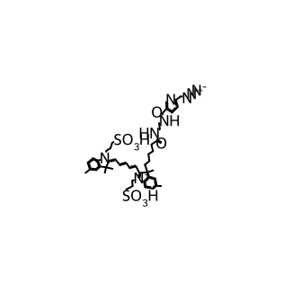 Cc1ccc2c(c1)C(C)(C)C(=CC=CC=CC1=[N+](CCCS(=O)(=O)O)c3ccc(C)cc3C1(C)CCCCCC(=O)NCCNC(=O)c1ccc(CN=[N+]=[N-])nc1)N2CCCS(=O)(=O)O